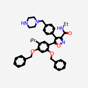 CCNC(=O)c1noc(-c2cc(C(C)C)c(OCc3ccccc3)cc2OCc2ccccc2)c1-c1ccc(CN2CCNCC2)cc1